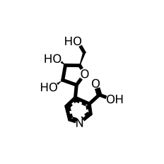 O=C(O)c1cnccc1C1O[C@H](CO)[C@@H](O)[C@H]1O